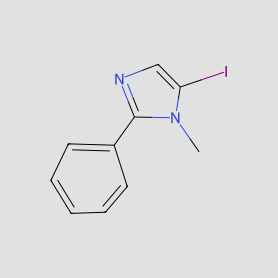 Cn1c(I)cnc1-c1ccccc1